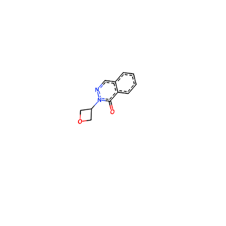 O=c1c2ccccc2cnn1C1COC1